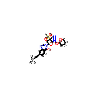 CC(CCn1cnc2cc(C#C[Si](C)(C)C)ccc2c1=O)(C(=O)NOC1CCCCO1)S(C)(=O)=O